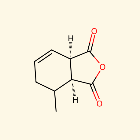 CC1CC=C[C@H]2C(=O)OC(=O)[C@@H]12